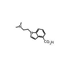 CN(C)CCn1ccc2c(C(=O)O)cccc21